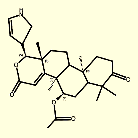 CC(=O)O[C@@H]1CC2C(C)(C)C(=O)CC[C@]2(C)C2CC[C@]3(C)C(=CC(=O)O[C@H]3C3C=CNC3)[C@@]21C